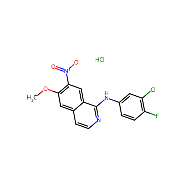 COc1cc2ccnc(Nc3ccc(F)c(Cl)c3)c2cc1[N+](=O)[O-].Cl